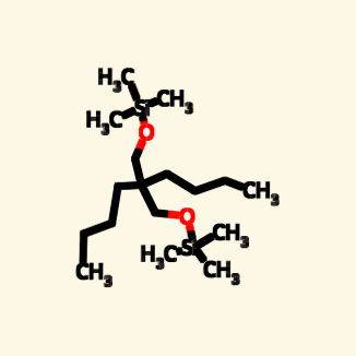 CCCCC(CCCC)(CO[Si](C)(C)C)CO[Si](C)(C)C